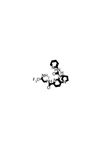 N[C@@H](CNC(=O)c1ccc2c(n1)N(C(=O)Nc1ccccn1)[C@H]1CCN2C1)C(F)(F)F